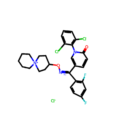 O=c1ccc(/C(=N\OC2CC[N+]3(CCCCC3)CC2)c2ccc(F)cc2F)cn1-c1c(Cl)cccc1Cl.[Cl-]